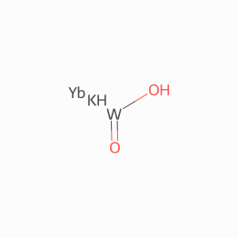 [KH].[O]=[W][OH].[Yb]